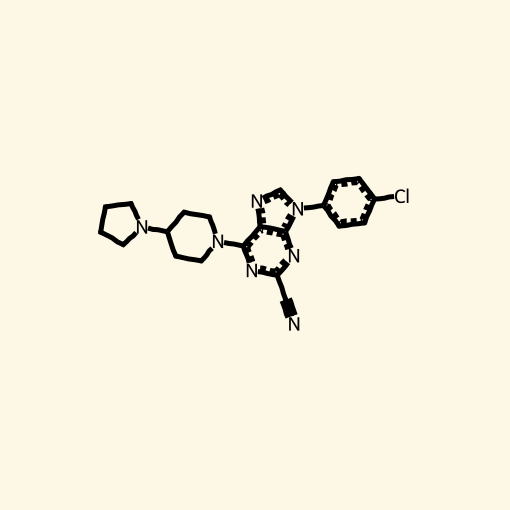 N#Cc1nc(N2CCC(N3CCCC3)CC2)c2ncn(-c3ccc(Cl)cc3)c2n1